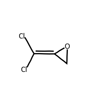 ClC(Cl)=C1CO1